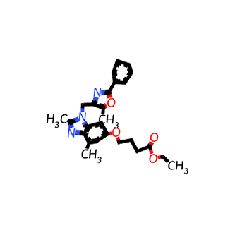 CCOC(=O)CCCOc1cc(C)c2nc(C)n(Cc3nc(-c4ccccc4)oc3C)c2c1